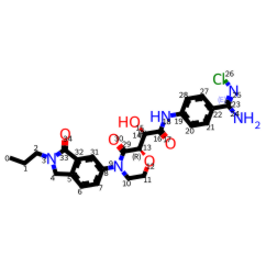 CCCN1Cc2ccc(N3CCO[C@H]([C@@H](O)C(=O)Nc4ccc(/C(N)=N\Cl)cc4)C3=O)cc2C1=O